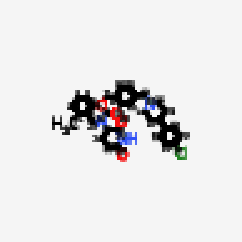 Cc1cccc(OCc2ccc(CN3CCC(c4ccc(Cl)cc4)CC3)cc2)c1CN(C=O)C1CCC(=O)NC1=O